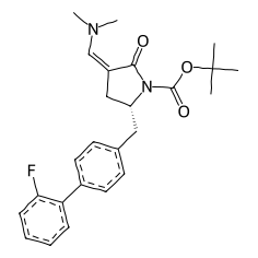 CN(C)/C=C1/C[C@@H](Cc2ccc(-c3ccccc3F)cc2)N(C(=O)OC(C)(C)C)C1=O